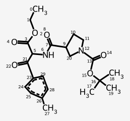 CCOC(=O)C(NC(=O)C1CCN(C(=O)OC(C)(C)C)C1)C(=O)c1ccc(C)cc1